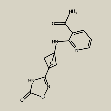 NC(=O)c1cccnc1NC12CC(c3noc(=O)[nH]3)(C1)C2